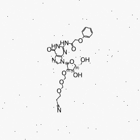 N#CCCOCOCO[C@H]1[C@@H](O)[C@@H](CO)O[C@H]1n1cnc2c(=O)[nH]c(NC(=O)COc3ccccc3)nc21